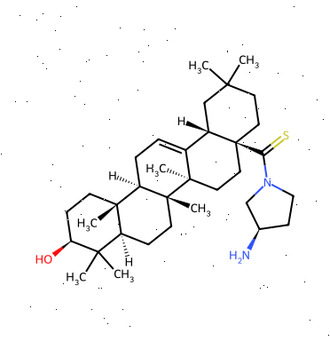 CC1(C)CC[C@]2(C(=S)N3CC[C@@H](N)C3)CC[C@]3(C)C(=CC[C@@H]4[C@@]5(C)CC[C@H](O)C(C)(C)[C@@H]5CC[C@]43C)[C@@H]2C1